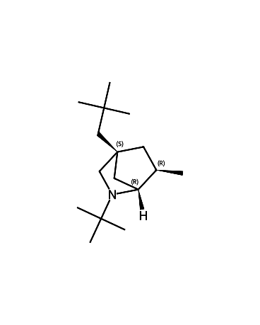 C[C@@H]1C[C@]2(CC(C)(C)C)C[C@H]1N(C(C)(C)C)C2